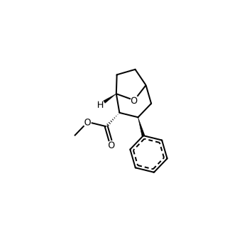 COC(=O)[C@@H]1[C@@H]2CCC(C[C@H]1c1ccccc1)O2